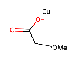 COCC(=O)O.[Cu]